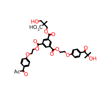 CC(=O)C(=O)c1ccc(OCCOC(=O)c2cc(C(=O)OCCOc3ccc(C(=O)C(C)(C)O)cc3)cc(C(=O)OCC(C)(CO)C(=O)O)c2)cc1